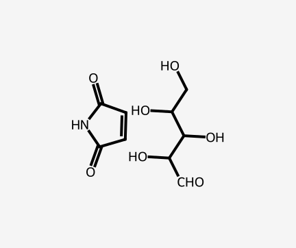 O=C1C=CC(=O)N1.O=CC(O)C(O)C(O)CO